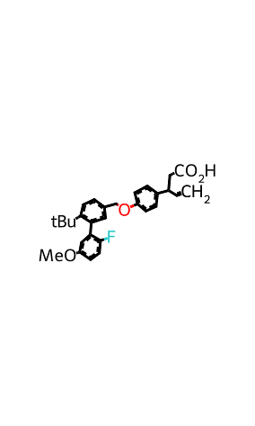 C=CC(CC(=O)O)c1ccc(OCc2ccc(C(C)(C)C)c(-c3cc(OC)ccc3F)c2)cc1